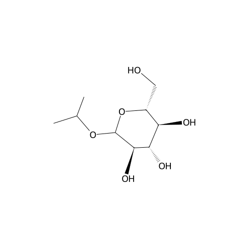 CC(C)OC1O[C@H](CO)[C@@H](O)[C@H](O)[C@H]1O